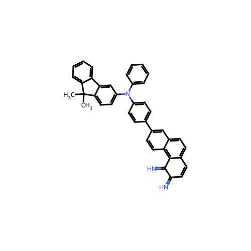 CC1(C)c2ccccc2-c2cc(N(c3ccccc3)c3ccc(-c4ccc5c6c(ccc5c4)C=CC(=N)C6=N)cc3)ccc21